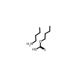 CCCCN.CCCCOC(=S)S